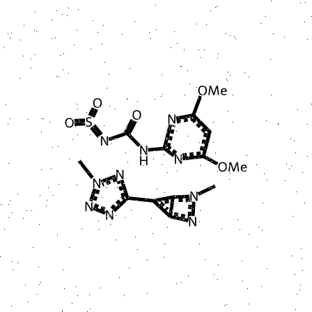 COc1cc(OC)nc(NC(=O)N=S(=O)=O)n1.Cn1nnc(-c2c3nn(C)c2-3)n1